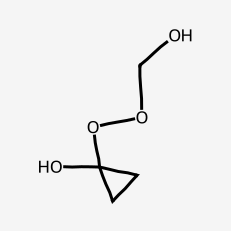 OCOOC1(O)CC1